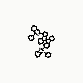 c1ccc(-c2nc(-c3cccc4c3-c3ccccc3C43c4ccccc4-c4ccc(-c5nc6ccccc6n5-c5ccccc5)cc43)nc3ccccc23)cc1